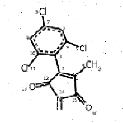 CC1=C(c2c(Cl)cc(Cl)cc2Cl)C(=O)NC1=O